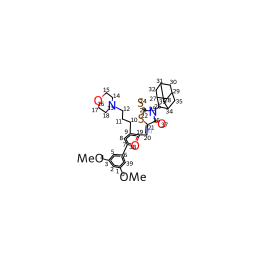 COc1cc(OC)cc(-c2cc(CCCN3CCOCC3)c(/C=C3\SC(=S)N(C4C5CC6CC(C5)CC4C6)C3=O)o2)c1